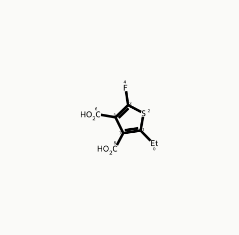 CCc1sc(F)c(C(=O)O)c1C(=O)O